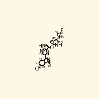 C[C@@H](NC(=O)Oc1c[nH]c2ncc(-c3nn(C)c4cc(Cl)ccc34)nc12)C(=O)N1CC(F)C1